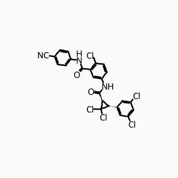 N#Cc1ccc(NC(=O)c2cc(NC(=O)[C@H]3[C@H](c4cc(Cl)cc(Cl)c4)C3(Cl)Cl)ccc2Cl)cc1